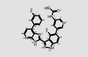 CCCCC(=O)Nc1cncc(-c2ccc3[nH]nc(-c4nc5c(-c6cccc(F)c6)ccnc5[nH]4)c3c2F)c1